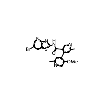 COc1cnc(C)cc1-c1cc(C)ncc1C(=O)Nc1nc2ncc(Br)cc2s1